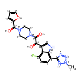 Cn1nnc(-c2ccc(F)c3c(C(=O)C(=O)N4CCN(C(=O)c5ccco5)CC4)c[nH]c23)n1